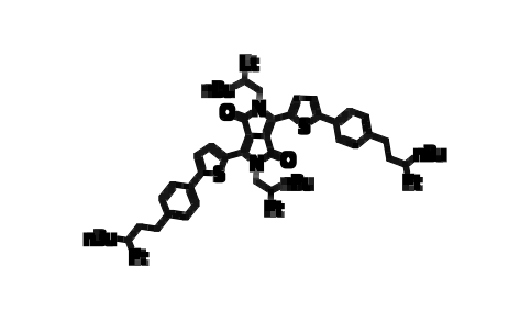 CCCCC(CC)CCc1ccc(-c2ccc(C3=C4C(=O)N(CC(CC)CCCC)C(c5ccc(-c6ccc(CCC(CC)CCCC)cc6)s5)=C4C(=O)N3CC(CC)CCCC)s2)cc1